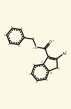 CC(=O)C1=C(C(=O)OCc2ccccc2)c2ccccc2C1